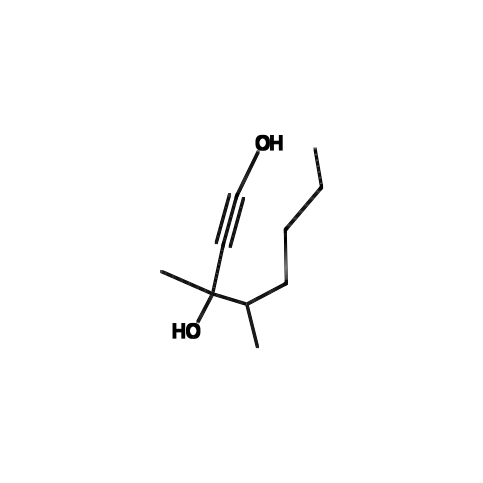 CCCCC(C)C(C)(O)C#CO